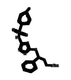 CCCCCCCCCCCCC(Sc1nnc(NS(=O)(=O)c2ccc(C)cc2)s1)c1ccccc1